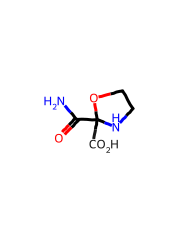 NC(=O)C1(C(=O)O)NCCO1